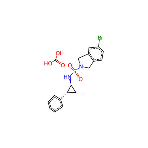 C[C@H]1[C@H](NS(=O)(=O)N2Cc3ccc(Br)cc3C2)[C@H]1c1ccccc1.O=C(O)O